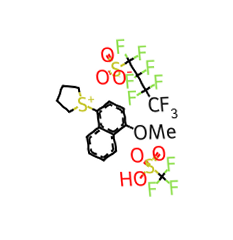 COc1ccc([S+]2CCCC2)c2ccccc12.O=S(=O)(O)C(F)(F)F.O=S(=O)([O-])C(F)(F)C(F)(F)C(F)(F)C(F)(F)F